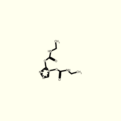 CCNC(=O)Oc1nncn1OC(=O)NCC